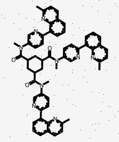 Cc1ccc2cccc(-c3ccc(N(C)C(=O)C4CC(C(=O)N(C)c5ccc(-c6cccc7ccc(C)nc67)nc5)CC(C(=O)N(C)c5ccc(-c6cccc7ccc(C)nc67)nc5)C4)cn3)c2n1